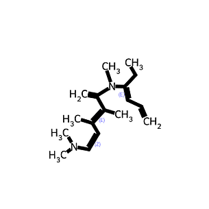 C=C/C=C(\CC)N(C)C(=C)/C(C)=C(C)/C=C\N(C)C